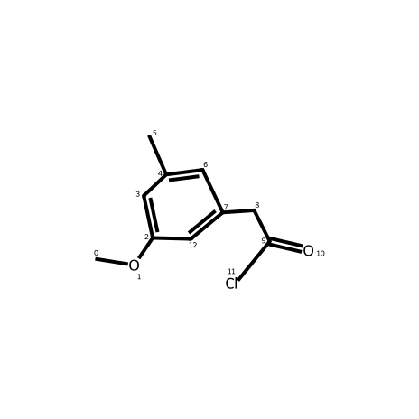 COc1cc(C)cc(CC(=O)Cl)c1